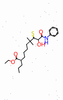 CCCC(CCCCC(C)(C)C(=S)C(O)C(=O)Nc1ccccc1)C(=O)OCC